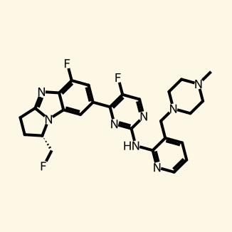 CN1CCN(Cc2cccnc2Nc2ncc(F)c(-c3cc(F)c4nc5n(c4c3)[C@H](CF)CC5)n2)CC1